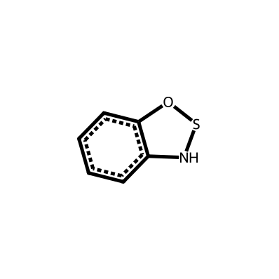 c1ccc2c(c1)NSO2